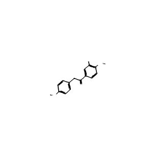 COc1ccc(C(=O)Cc2ccc(SC)cc2)cc1F